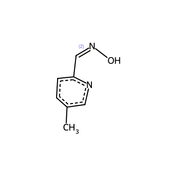 Cc1ccc(/C=N\O)nc1